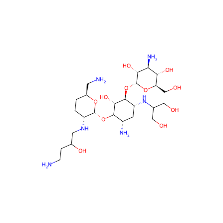 NCCC(O)CN[C@@H]1CC[C@@H](CN)O[C@@H]1OC1[C@@H](N)C[C@@H](NC(CO)CO)[C@H](O[C@H]2O[C@H](CO)[C@@H](O)[C@H](N)[C@H]2O)[C@H]1O